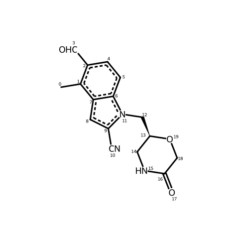 Cc1c(C=O)ccc2c1cc(C#N)n2C[C@@H]1CNC(=O)CO1